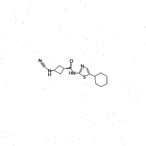 N#CN[C@H]1C[C@@H](C(=O)Nc2ncc(C3CCCCC3)s2)C1